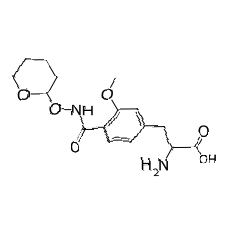 COc1cc(CC(N)C(=O)O)ccc1C(=O)NOC1CCCCO1